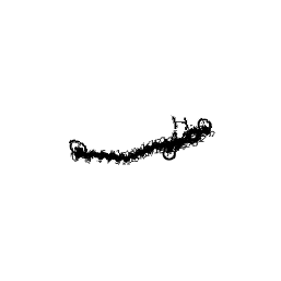 CC(=O)CCCCCCCCCCCCCCCCCCC(=O)NCC1CCC(C(C)=O)CC1